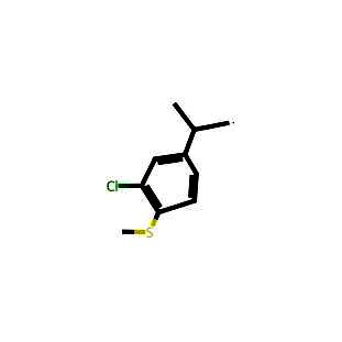 [CH2]C(C)c1ccc(SC)c(Cl)c1